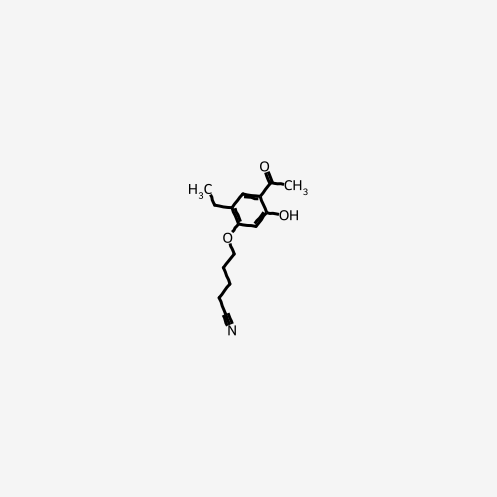 CCc1cc(C(C)=O)c(O)cc1OCCCCC#N